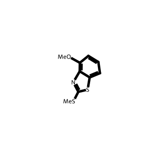 COc1cccc2sc(SC)nc12